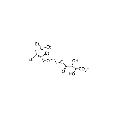 CC/C(C)=C(\C)CC.CCOCC.O=C(O)C(O)C(O)C(=O)OCCO